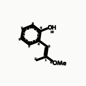 COC(C)=Cc1ccccc1O